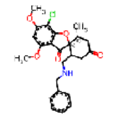 COc1cc(OC)c2c(c1Cl)O[C@]1(C2=O)C(CNCc2ccccc2)CC(=O)C[C@H]1C